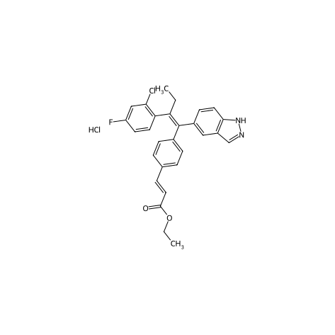 CCOC(=O)/C=C/c1ccc(/C(=C(/CC)c2ccc(F)cc2Cl)c2ccc3[nH]ncc3c2)cc1.Cl